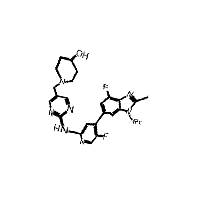 Cc1nc2c(F)cc(-c3cc(Nc4ncc(CN5CCC(O)CC5)cn4)ncc3F)cc2n1C(C)C